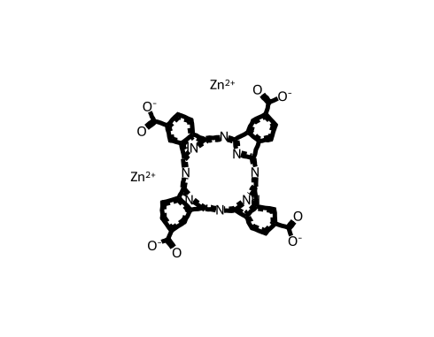 O=C([O-])c1ccc2c(c1)-c1nc-2nc2[nH]c(nc3nc(nc4[nH]c(n1)c1ccc(C(=O)[O-])cc41)-c1ccc(C(=O)[O-])cc1-3)c1ccc(C(=O)[O-])cc21.[Zn+2].[Zn+2]